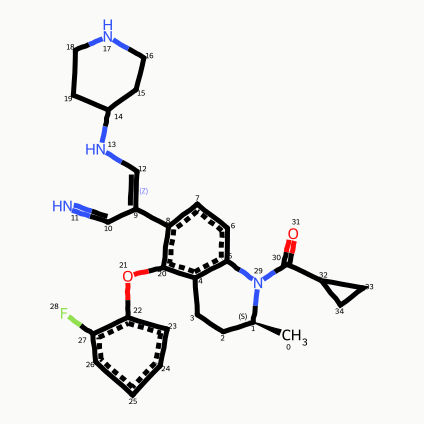 C[C@H]1CCc2c(ccc(/C(C=N)=C/NC3CCNCC3)c2Oc2ccccc2F)N1C(=O)C1CC1